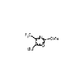 COc1nc(C(F)(F)F)c(C(C)(C)C)o1